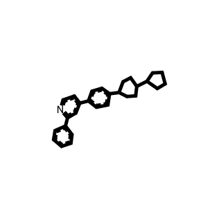 c1ccc(-c2cc(-c3ccc(C4CCC(C5CCCC5)CC4)cc3)ccn2)cc1